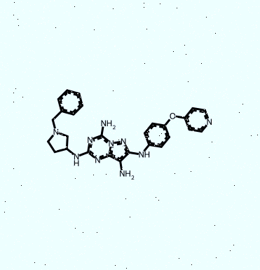 Nc1c(Nc2ccc(Oc3ccncc3)cc2)nn2c(N)nc(NC3CCN(Cc4ccccc4)C3)nc12